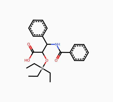 CC[Si](CC)(CC)OC(C(=O)O)C(NC(=O)c1ccccc1)c1ccccc1